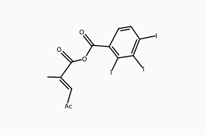 CC(=O)C=C(C)C(=O)OC(=O)c1ccc(I)c(I)c1I